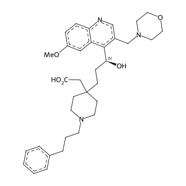 COc1ccc2ncc(CN3CCOCC3)c([C@@H](O)CCC3(CC(=O)O)CCN(CCCc4ccccc4)CC3)c2c1